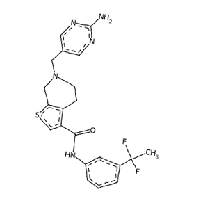 CC(F)(F)c1cccc(NC(=O)c2csc3c2CCN(Cc2cnc(N)nc2)C3)c1